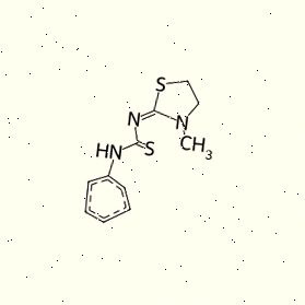 CN1CCSC1=NC(=S)Nc1ccccc1